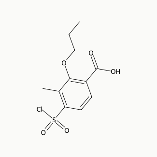 CCCOc1c(C(=O)O)ccc(S(=O)(=O)Cl)c1C